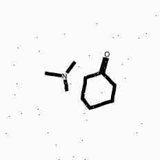 CN(C)C.O=C1CCCCC1